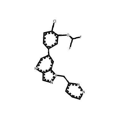 FC(F)Oc1cc(-c2cnc3cnn(Cc4cccnn4)c3c2)ccc1Cl